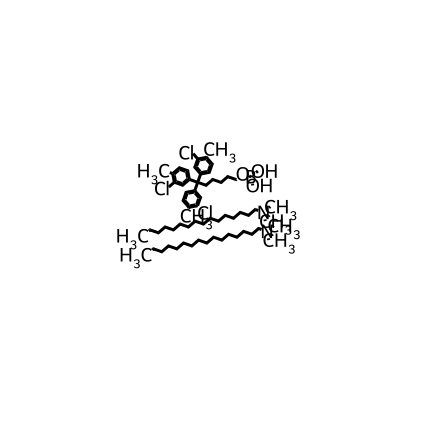 CCCCCCCCCCCCCCCCN(C)C.CCCCCCCCCCCCCCCCN(C)C.Cc1ccc(C(CCCCCOB(O)O)(c2ccc(C)c(Cl)c2)c2ccc(C)c(Cl)c2)cc1Cl